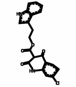 O=C1Nc2cc(Cl)ccc2C(=O)C1C(=O)OCCc1c[nH]c2ccccc12